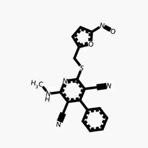 CNc1nc(SCc2ccc(N=O)o2)c(C#N)c(-c2ccccc2)c1C#N